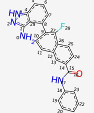 Nc1n[nH]c2cccc(-c3ccc4cc(C(=O)Nc5ccccc5)ccc4c3F)c12